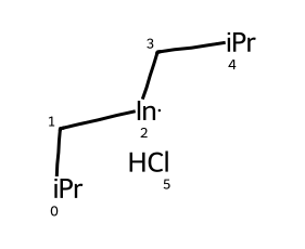 CC(C)[CH2][In][CH2]C(C)C.Cl